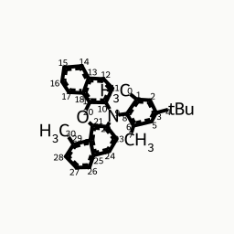 Cc1cc(C(C)(C)C)cc(C)c1N1c2ccc3ccccc3c2Oc2c1ccc1cccc(C)c21